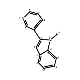 Fn1c(-c2cccnc2)cc2ccccc21